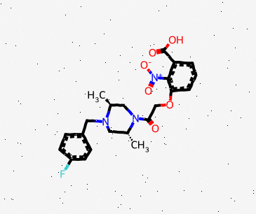 C[C@@H]1CN(Cc2ccc(F)cc2)[C@@H](C)CN1C(=O)COc1cccc(C(=O)O)c1[N+](=O)[O-]